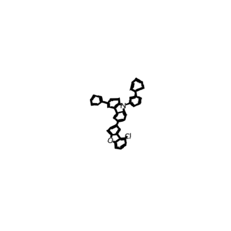 Clc1cccc2oc3ccc(-c4ccc5c(c4)c4cc(-c6ccccc6)ccc4n5-c4cccc(-c5ccccc5)c4)cc3c12